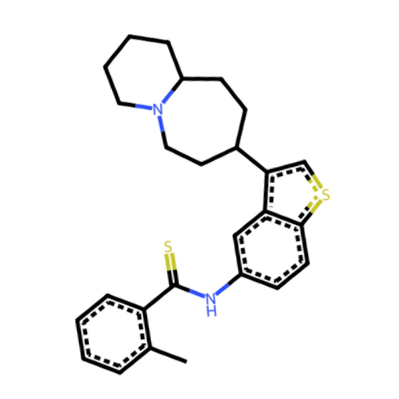 Cc1ccccc1C(=S)Nc1ccc2scc(C3CCC4CCCCN4CC3)c2c1